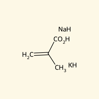 C=C(C)C(=O)O.[KH].[NaH]